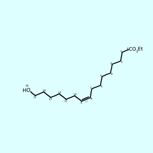 CCOC(=O)CCCCCCC/C=C\CCCCCCO